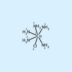 [NH2][Co]([NH2])([NH2])([NH2])([NH2])[Cl]